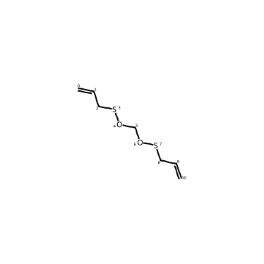 C=CCSOCOSCC=C